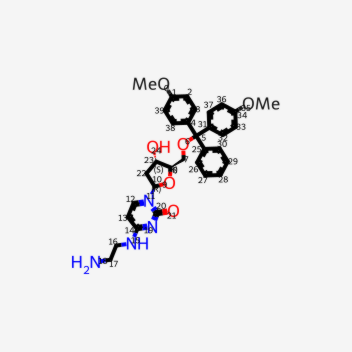 COc1ccc(C(OC[C@H]2O[C@@H](n3ccc(NCCN)nc3=O)C[C@@H]2O)(c2ccccc2)c2ccc(OC)cc2)cc1